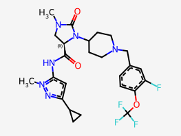 CN1C[C@H](C(=O)Nc2cc(C3CC3)nn2C)N(C2CCN(Cc3ccc(OC(F)(F)F)c(F)c3)CC2)C1=O